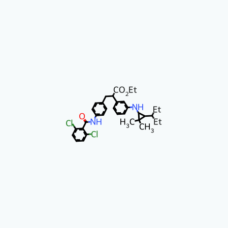 CCOC(=O)C(Cc1ccc(NC(=O)c2c(Cl)cccc2Cl)cc1)c1cccc(NC2C(C(CC)CC)C2(C)C)c1